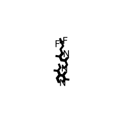 CC/C(C)=c1/ccnc(C)/c1=C/N(C)Cc1cnc(CCC(C)(F)F)c(C)c1